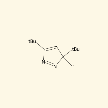 [CH2]C1(C(C)(C)C)C=C(C(C)(C)C)N=N1